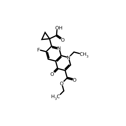 CCOC(=O)c1cn(CC)c2nc(C3(C(=O)O)CC3)c(F)cc2c1=O